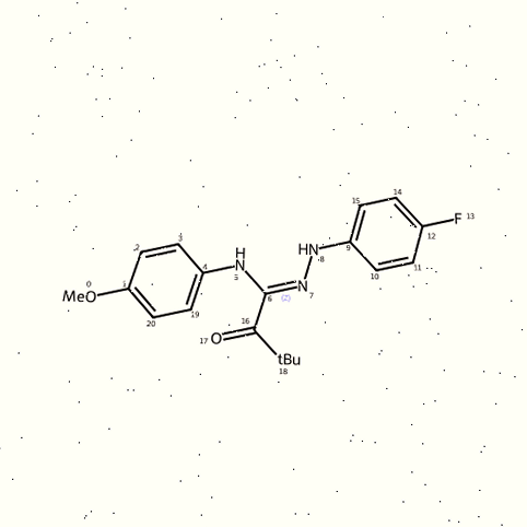 COc1ccc(N/C(=N\Nc2ccc(F)cc2)C(=O)C(C)(C)C)cc1